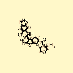 C[C@H]1COCCN1C(=O)[C@H]1CCc2c(sc3ncnc(Nc4cc5snnc5cc4Cl)c23)C1